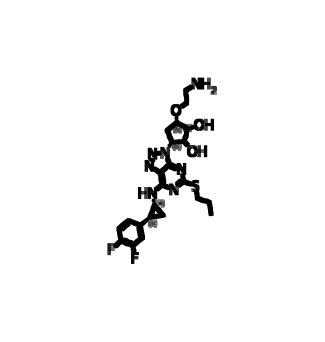 CCCSc1nc(N[C@@H]2C[C@H]2c2ccc(F)c(F)c2)c2nnn([C@@H]3C[C@H](OCCN)[C@@H](O)C3O)c2n1